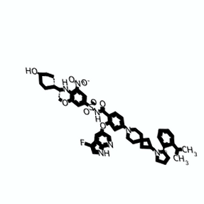 CC(C)c1ccccc1[C@H]1CCCN1C1CC2(CCN(c3ccc(C(=O)NS(=O)(=O)c4cc5c(c([N+](=O)[O-])c4)N[C@@H]([C@H]4CC[C@H](O)CC4)CO5)c(Oc4cnc5[nH]cc(F)c5c4)c3)CC2)C1